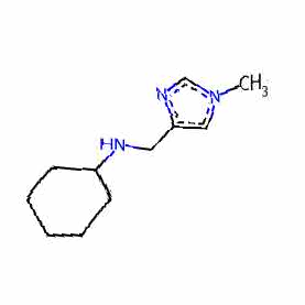 Cn1cnc(CNC2CCCCC2)c1